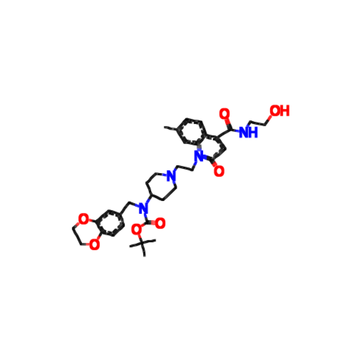 Cc1ccc2c(C(=O)NCCO)cc(=O)n(CCN3CCC(N(Cc4ccc5c(c4)OCCO5)C(=O)OC(C)(C)C)CC3)c2c1